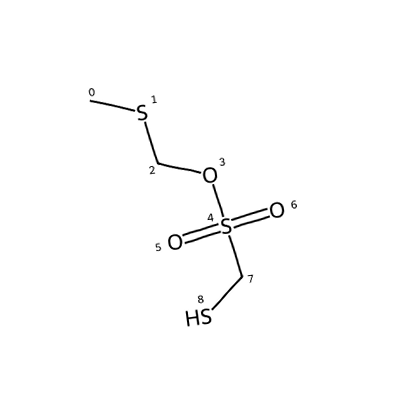 CSCOS(=O)(=O)CS